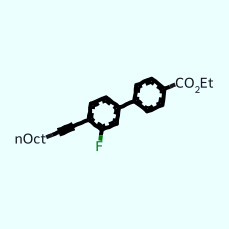 CCCCCCCCC#Cc1ccc(-c2ccc(C(=O)OCC)cc2)cc1F